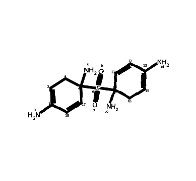 NC1=CCC(N)(S(=O)(=O)C2(N)C=CC(N)=CC2)C=C1